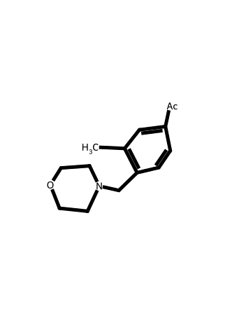 CC(=O)c1ccc(CN2CCOCC2)c(C)c1